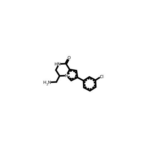 NCC1CNC(=O)c2cc(-c3cccc(Cl)c3)cn21